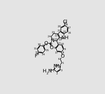 Nc1ccn(CCOc2ccc(C3c4[nH]c5ccc(Cl)cc5c4CCN3C(=O)Oc3ccc(F)cc3)cc2)n1